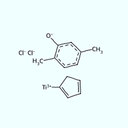 Cc1ccc(C)c([O-])c1.[Cl-].[Cl-].[Ti+3][C]1=CC=CC1